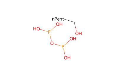 CCCCCCO.OP(O)OP(O)O